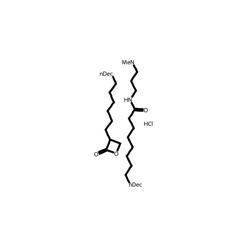 CCCCCCCCCCCCCCCCC1COC1=O.CCCCCCCCCCCCCCCCCC(=O)NCCCNC.Cl